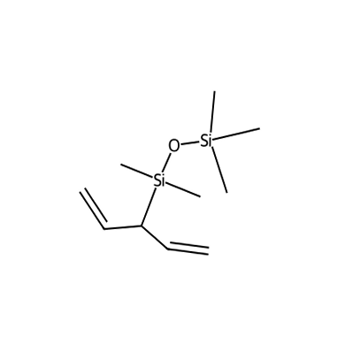 C=CC(C=C)[Si](C)(C)O[Si](C)(C)C